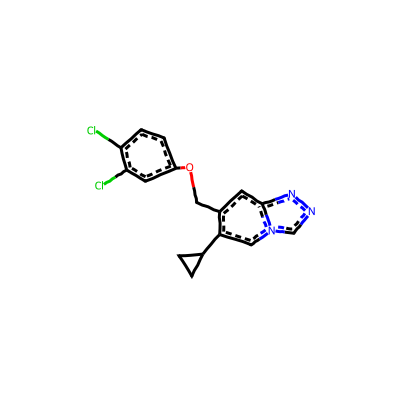 Clc1ccc(OCc2cc3nncn3cc2C2CC2)cc1Cl